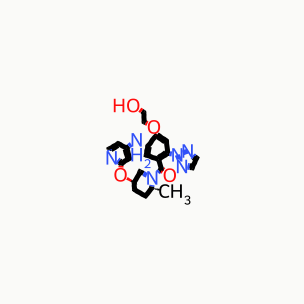 C[C@@H]1CC[C@@H](Oc2cc(N)ccn2)CN1C(=O)c1ccc(OCCO)cc1-n1nccn1